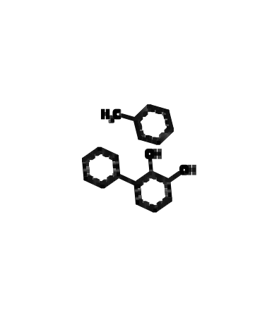 Cc1ccccc1.Oc1cccc(-c2ccccc2)c1O